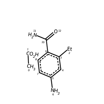 CC(=O)O.CCc1cc(N)ccc1C(N)=O